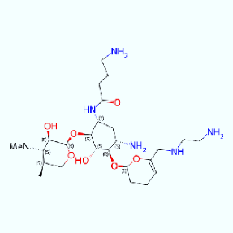 CN[C@@H]1[C@@H](O)[C@@H](O[C@@H]2[C@@H](O)[C@H](O[C@@H]3CCC=C(CNCCN)O3)[C@@H](N)C[C@H]2NC(=O)CCCN)OC[C@H]1C